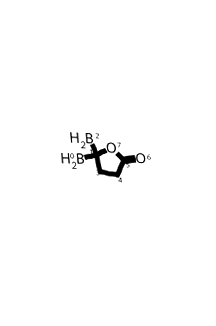 BC1(B)CCC(=O)O1